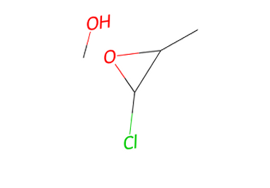 CC1OC1Cl.CO